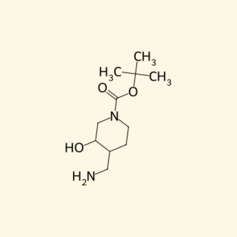 CC(C)(C)OC(=O)N1CCC(CN)C(O)C1